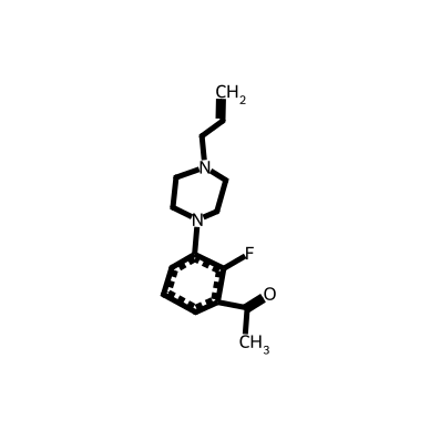 C=CCN1CCN(c2cccc(C(C)=O)c2F)CC1